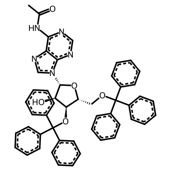 CC(=O)Nc1ncnc2c1ncn2[C@@H]1O[C@H](COC(c2ccccc2)(c2ccccc2)c2ccccc2)[C@@H](OC(c2ccccc2)(c2ccccc2)c2ccccc2)[C@H]1O